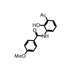 COc1ccc(C(=O)Nc2cccc(C(C)=O)c2O)cc1